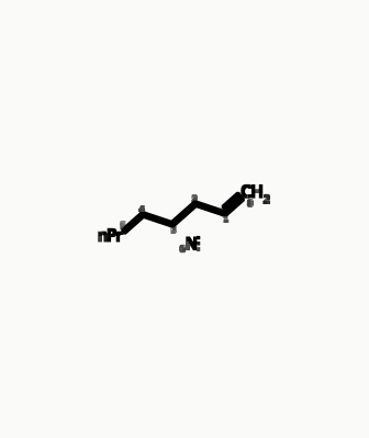 C=CCCCCCC.[N]